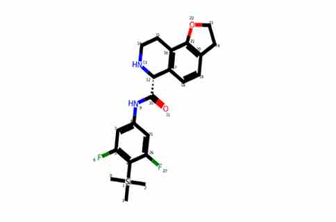 C[Si](C)(C)c1c(F)cc(NC(=O)[C@@H]2NCCc3c2ccc2c3OCC2)cc1F